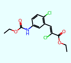 CCOC(=O)Nc1ccc(Cl)c(C=C(Cl)C(=O)OCC)c1